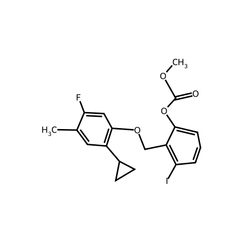 COC(=O)Oc1cccc(I)c1COc1cc(F)c(C)cc1C1CC1